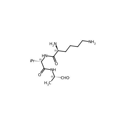 CC(C)[C@H](NC(=O)[C@@H](N)CCCCN)C(=O)N[C@@H](C)[C]=O